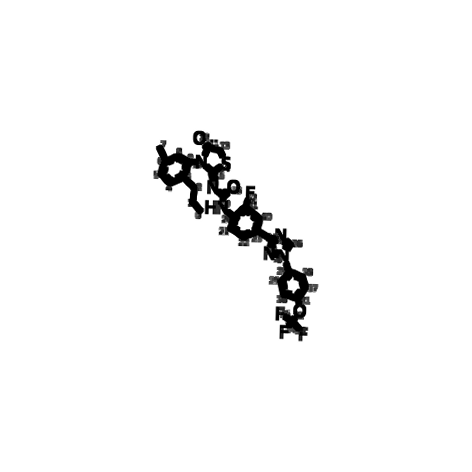 CCCc1ccc(C)cc1N1C(=O)CSC1=NC(=O)Nc1ccc(-c2ncn(-c3ccc(OC(F)(F)F)cc3)n2)cc1F